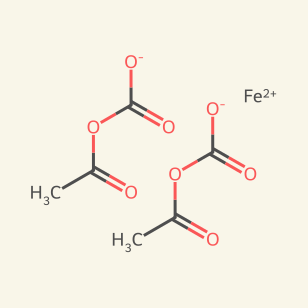 CC(=O)OC(=O)[O-].CC(=O)OC(=O)[O-].[Fe+2]